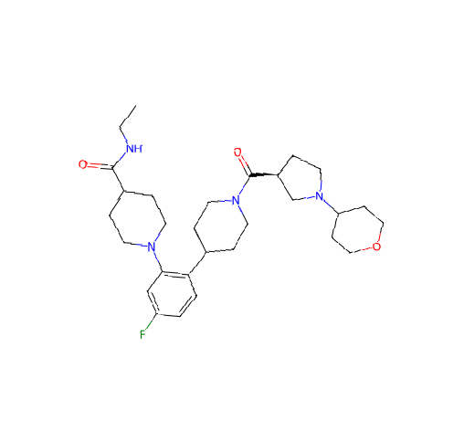 CCNC(=O)C1CCN(c2cc(F)ccc2C2CCN(C(=O)[C@H]3CCN(C4CCOCC4)C3)CC2)CC1